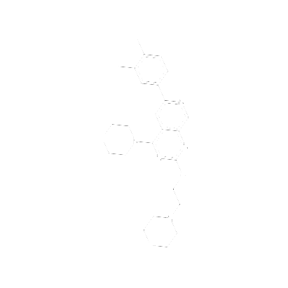 Cc1ccc(-c2cc3c(N4CCOCC4)nc(OCCN4CCOCC4)nc3cn2)cc1C